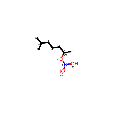 CC(C)CCC[C@@H](C)ON(O)O